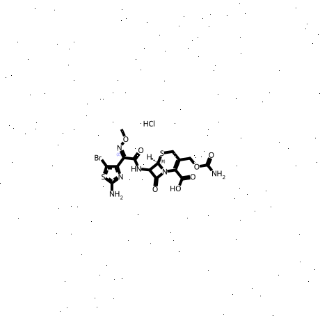 CO/N=C(\C(=O)NC1C(=O)N2C(C(=O)O)=C(COC(N)=O)CS[C@H]12)c1nc(N)sc1Br.Cl